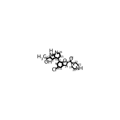 CC(O)c1cc2c(-c3cc(Cl)cc4c3O[C@@H](C(=O)N3CCNCC3)C4)ccnc2[nH]1